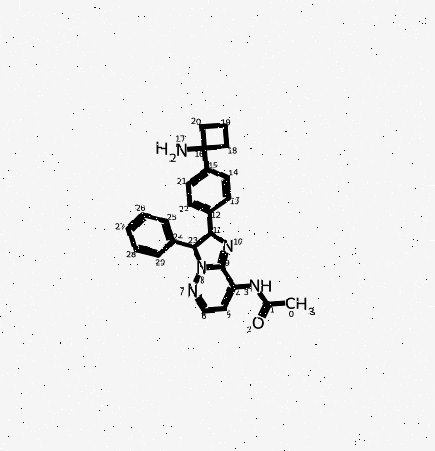 CC(=O)NC1=CC=NN2C1=NC(c1ccc(C3(N)CCC3)cc1)C2c1ccccc1